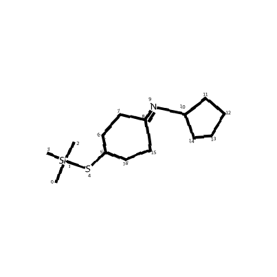 C[Si](C)(C)SC1CCC(=NC2CCCC2)CC1